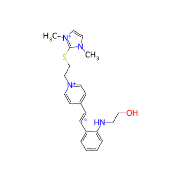 Cn1cc[n+](C)c1SCC[n+]1ccc(/C=C/c2ccccc2NCCO)cc1